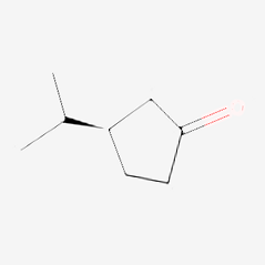 CC(C)[C@@H]1CCC(=O)C1